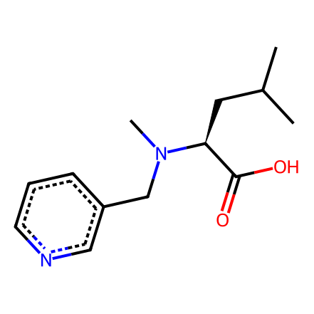 CC(C)C[C@@H](C(=O)O)N(C)Cc1cccnc1